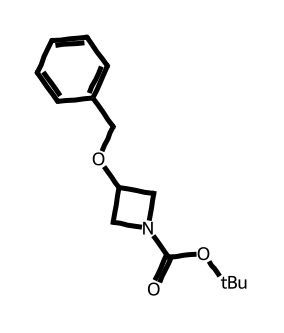 CC(C)(C)OC(=O)N1CC(OCc2ccccc2)C1